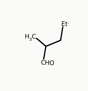 C[CH]CC(C)C=O